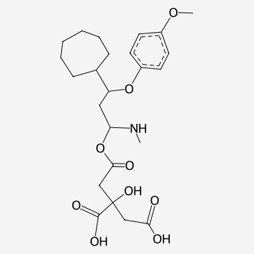 CNC(CC(Oc1ccc(OC)cc1)C1CCCCCC1)OC(=O)CC(O)(CC(=O)O)C(=O)O